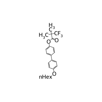 CCCCCCOc1ccc(-c2ccc(OC(=O)C(C)(C)C(F)(F)F)cc2)cc1